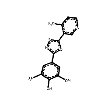 O=[N+]([O-])c1cc(-c2nnc(-c3cnccc3C(F)(F)F)o2)cc(O)c1O